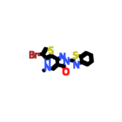 CN/C=C1/C(=O)N(c2nc3ccccc3s2)N=C1c1cc(Br)cs1